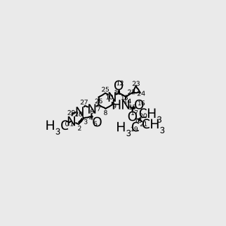 CN1C=C2C(=O)N(C3CCN(C(=O)C(NC(=O)OC(C)(C)C)C4CC4)CC3)CN2C1